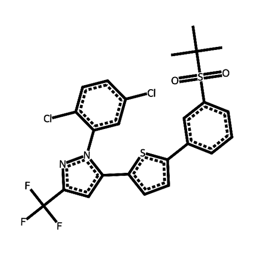 CC(C)(C)S(=O)(=O)c1cccc(-c2ccc(-c3cc(C(F)(F)F)nn3-c3cc(Cl)ccc3Cl)s2)c1